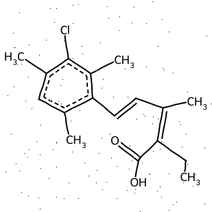 CCC(C(=O)O)=C(C)C=Cc1c(C)cc(C)c(Cl)c1C